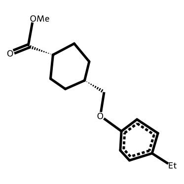 CCc1ccc(OC[C@H]2CC[C@@H](C(=O)OC)CC2)cc1